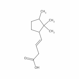 CC1CCC(C=CCC(=O)O)C1(C)C